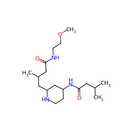 COCCNC(=O)CC(C)CC1CC(NC(=O)CC(C)C)CCN1